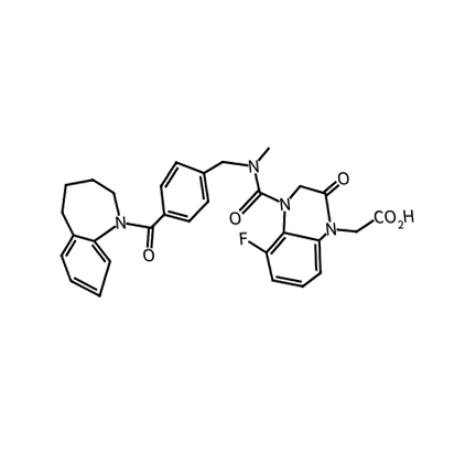 CN(Cc1ccc(C(=O)N2CCCCc3ccccc32)cc1)C(=O)N1CC(=O)N(CC(=O)O)c2cccc(F)c21